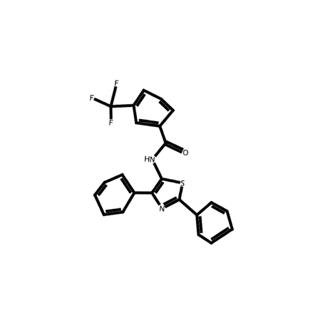 O=C(Nc1sc(-c2ccccc2)nc1-c1ccccc1)c1cccc(C(F)(F)F)c1